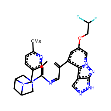 C=C(/C=N\C(=C/C)N1CC2CC(C1)N2Cc1ccc(OC)nc1)c1cc(OCC(F)F)cn2nc3[nH]ncc3c12